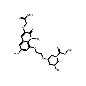 CNC(=O)COc1cc2cc(N)cc(OCCO[C@@H]3C[C@H](C)CN(C(=O)OC(C)(C)C)C3)c2n(C)c1=O